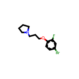 Fc1cc(Br)ccc1OCCCN1CCCC1